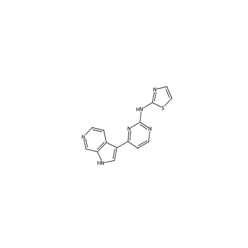 c1cc2c(-c3ccnc(Nc4nccs4)n3)c[nH]c2cn1